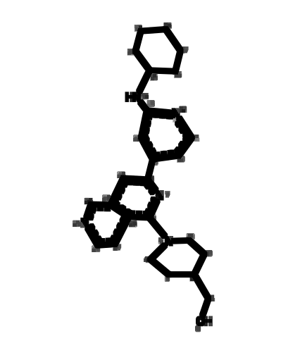 OCC1CCN(c2nc(-c3ccnc(NC4CCCCC4)c3)cc3cnccc23)CC1